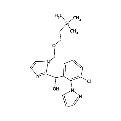 C[Si](C)(C)CCOCn1ccnc1C(O)c1cccc(Cl)c1-n1cccn1